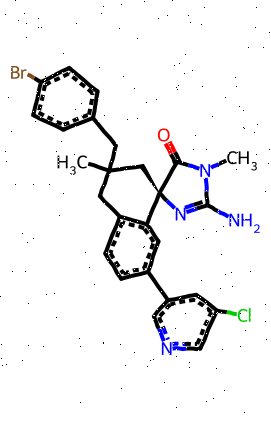 CN1C(=O)[C@]2(CC(C)(Cc3ccc(Br)cc3)Cc3ccc(-c4cncc(Cl)c4)cc32)N=C1N